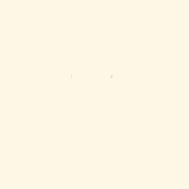 CCCC(C(=O)O)c1cccs1